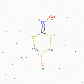 [O-][S+]1CSC(=NO)SC1